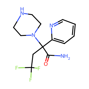 NC(=O)C(CC(F)(F)F)(c1ccccn1)N1CCNCC1